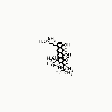 CN(C)CCCc1ccc(O)c2c1C[C@@H]1C[C@H]3[C@@H](N(C)C)C(O)=C(C(=O)NC(C)(C)C)C(=O)[C@]3(O)C(O)=C1C2=O